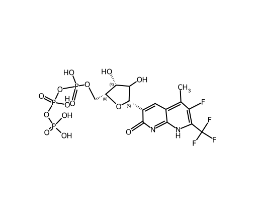 Cc1c2cc([C@@H]3O[C@H](COP(=O)(O)OP(=O)(O)OP(=O)(O)O)[C@H](O)C3O)c(=O)nc-2[nH]c(C(F)(F)F)c1F